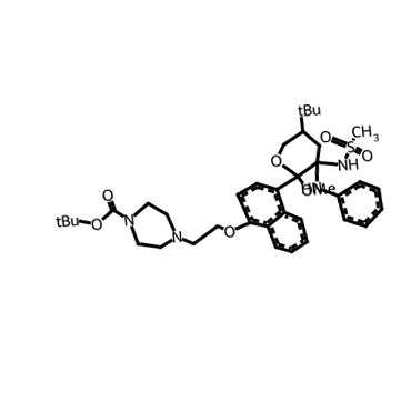 COC1(c2ccc(OCCN3CCN(C(=O)OC(C)(C)C)CC3)c3ccccc23)OCC(C(C)(C)C)CC1(Nc1ccccc1)NS(C)(=O)=O